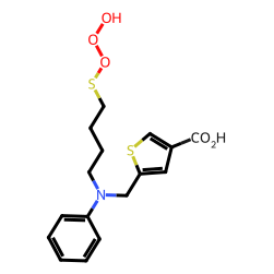 O=C(O)c1csc(CN(CCCCSOOO)c2ccccc2)c1